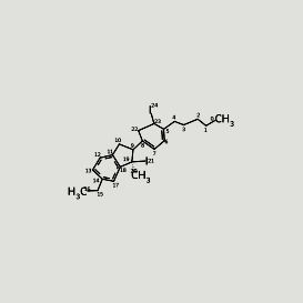 CCCCCC1=CC=C(C2Cc3ccc(CC)cc3[C@]2(C)I)CC1I